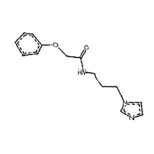 O=C(COc1ccccc1)NCCCn1ccnc1